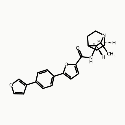 C[C@H]1[C@H](NC(=O)c2ccc(-c3ccc(-c4ccoc4)cc3)o2)C2CCN1CC2